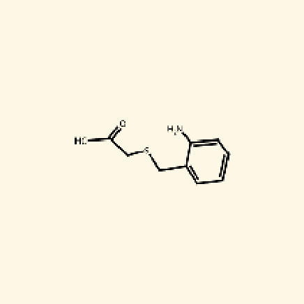 Nc1ccccc1CSCC(=O)O